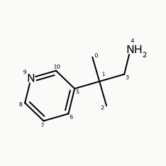 CC(C)(CN)c1cccnc1